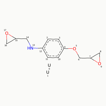 [U].[U].c1cc(OCC2CO2)ccc1NCC1CO1